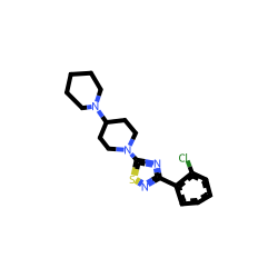 Clc1ccccc1-c1nsc(N2CCC(N3CCCCC3)CC2)n1